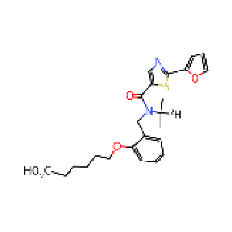 [2H]C(C)(C)N(Cc1ccccc1OCCCCCC(=O)O)C(=O)c1cnc(-c2ccco2)s1